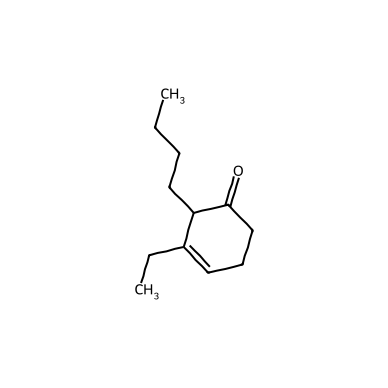 CCCCC1C(=O)CCC=C1CC